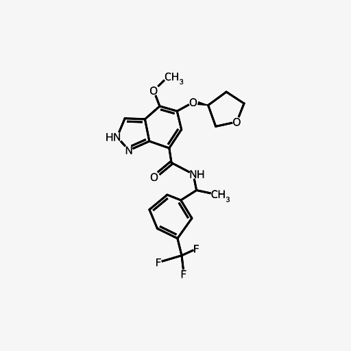 COc1c(O[C@H]2CCOC2)cc(C(=O)NC(C)c2cccc(C(F)(F)F)c2)c2n[nH]cc12